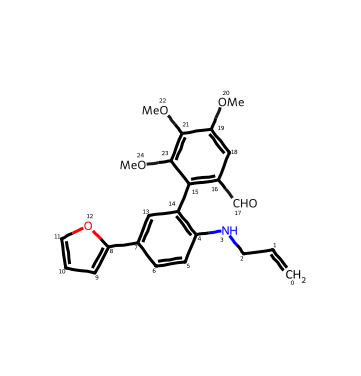 C=CCNc1ccc(-c2ccco2)cc1-c1c(C=O)cc(OC)c(OC)c1OC